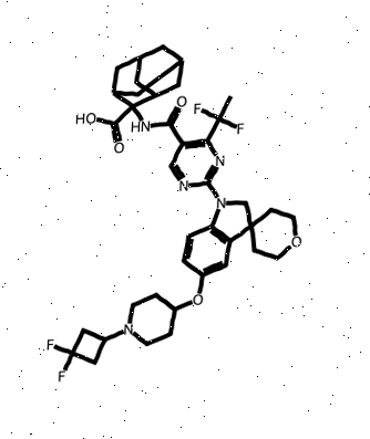 CC(F)(F)c1nc(N2CC3(CCOCC3)c3cc(OC4CCN(C5CC(F)(F)C5)CC4)ccc32)ncc1C(=O)NC1(C(=O)O)C2CC3CC(C2)CC1C3